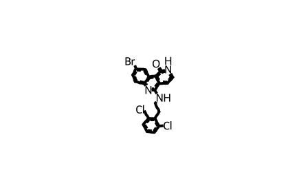 O=c1[nH]ccc2c(NCCc3c(Cl)cccc3Cl)nc3ccc(Br)cc3c12